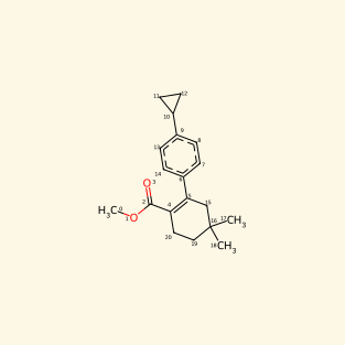 COC(=O)C1=C(c2ccc(C3CC3)cc2)CC(C)(C)CC1